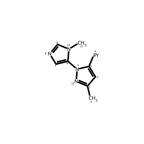 Cc1cc(C(C)C)n(-c2cncn2C)n1